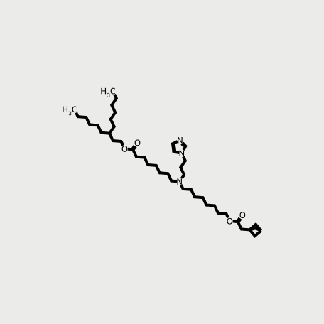 CCCCCCC(CCCCCC)CCOC(=O)CCCCCCCN(CCCCCCCCOC(=O)CC12CC(C1)C2)CCCn1ccnc1